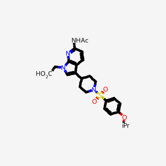 CC(=O)Nc1ccc2c(C3CCN(S(=O)(=O)c4ccc(OC(C)C)cc4)CC3)cn(CC(=O)O)c2n1